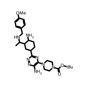 COc1ccc(CNC(C)C2CC(c3nnc(N)c(N4CCN(C(=O)OC(C)(C)C)CC4)n3)CCC2N)cc1